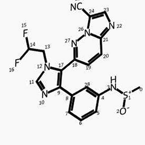 C[S+]([O-])Nc1cccc(-c2ncn(CC(F)F)c2-c2ccc3ncc(C#N)n3n2)c1